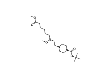 COC(=O)CCCCCN(CCN1CCN(C(=O)OC(C)(C)C)CC1)OC